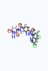 O=C1CC[C@H](N2Cc3cc(C(=O)N[C@H](c4ncc(Cl)cc4Cl)C4(F)CC4)ccc3C2=O)C(=O)N1